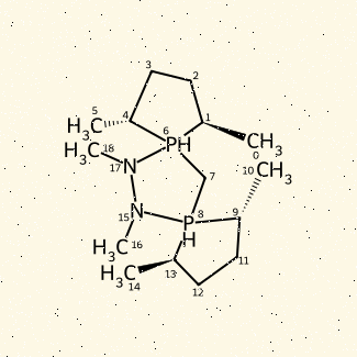 C[C@@H]1CC[C@@H](C)[PH]12C[PH]1([C@H](C)CC[C@H]1C)N(C)N2C